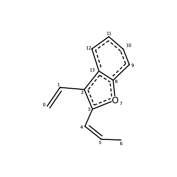 C=Cc1c(/C=C\C)oc2ccccc12